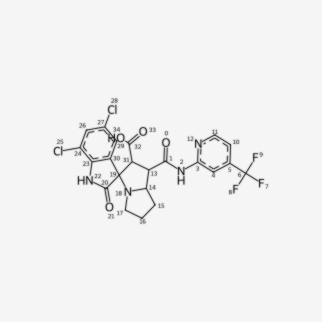 O=C(Nc1cc(C(F)(F)F)ccn1)C1C2CCCN2C2(C(=O)Nc3c(Cl)cc(Cl)cc32)C1C(=O)O